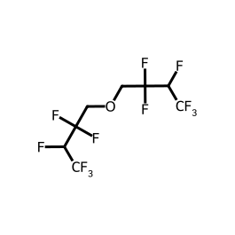 FC(C(F)(F)F)C(F)(F)COCC(F)(F)C(F)C(F)(F)F